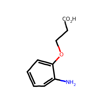 Nc1ccccc1OCCC(=O)O